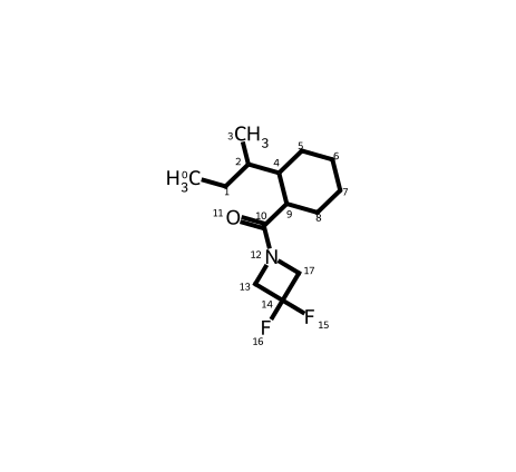 CCC(C)C1CCCCC1C(=O)N1CC(F)(F)C1